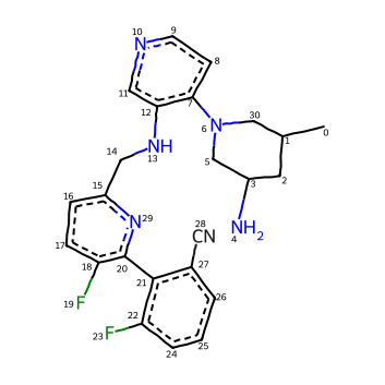 CC1CC(N)CN(c2ccncc2NCc2ccc(F)c(-c3c(F)cccc3C#N)n2)C1